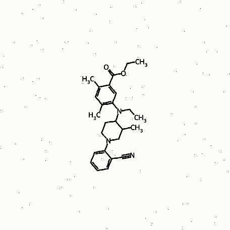 CCOC(=O)c1cc(N(CC)C2CCN(c3ccccc3C#N)CC2C)c(C)cc1C